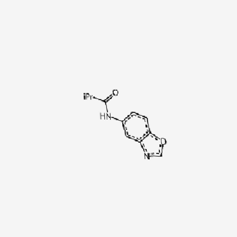 CC(C)C(=O)Nc1ccc2ocnc2c1